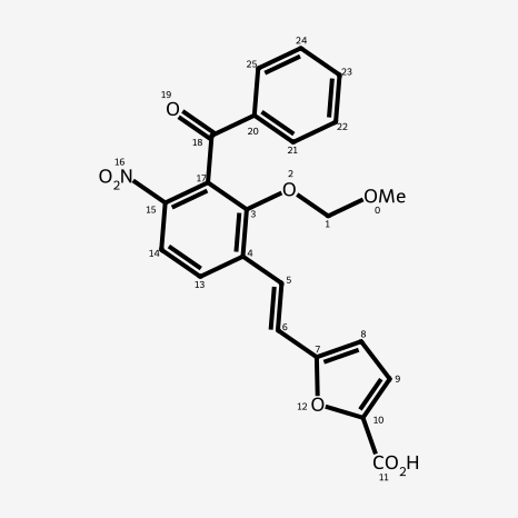 COCOc1c(/C=C/c2ccc(C(=O)O)o2)ccc([N+](=O)[O-])c1C(=O)c1ccccc1